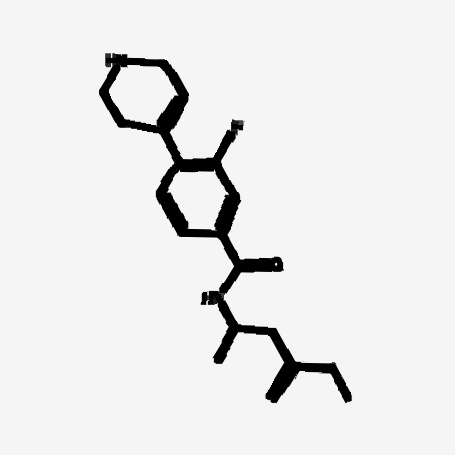 C=C(CC)CC(C)NC(=O)c1ccc(C2=CCNCC2)c(F)c1